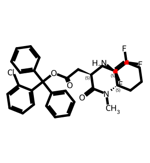 CN(C(=O)[C@@H](CC(=O)OC(c1ccccc1)(c1ccccc1)c1ccccc1Cl)CC(F)=C(F)F)[C@H]1CCCC[C@@H]1N